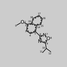 COc1ccc(-c2noc(C(C)C)n2)c2ccccc12